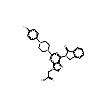 O=C(O)Cn1cnc2c(N3Cc4ccccc4C3=O)nc(N3CCN(c4ccc(O)cc4)CC3)nc21